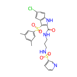 Cc1cc(C)cc(S(=O)(=O)c2c(C(=O)NCCCNS(=O)(=O)c3cccnc3)[nH]c3ccc(Cl)cc23)c1